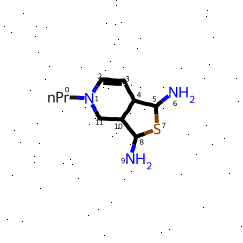 CCCN1C=CC2C(N)SC(N)C2C1